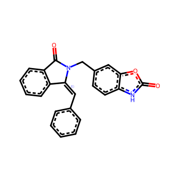 O=C1c2ccccc2/C(=C\c2ccccc2)N1Cc1ccc2[nH]c(=O)oc2c1